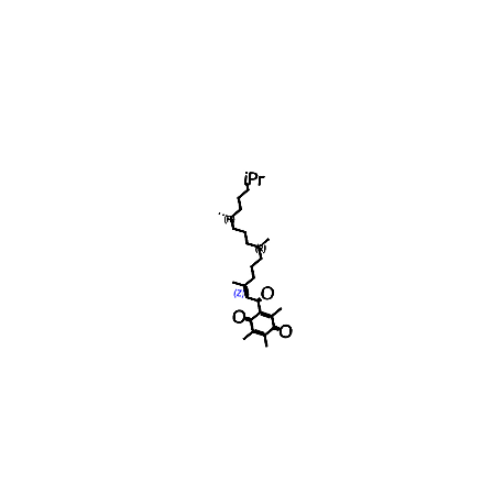 CC1=C(C)C(=O)C(C(=O)/C=C(/C)CCC[C@H](C)CCC[C@H](C)CCCC(C)C)=C(C)C1=O